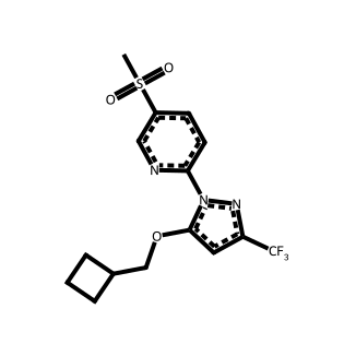 CS(=O)(=O)c1ccc(-n2nc(C(F)(F)F)cc2OCC2CCC2)nc1